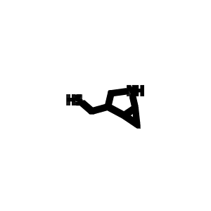 SCC1CNC2CC12